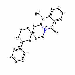 C=C(c1ccccc1CC(C)C)N1CCC2(CCCC(c3ccccc3)C2)CC1